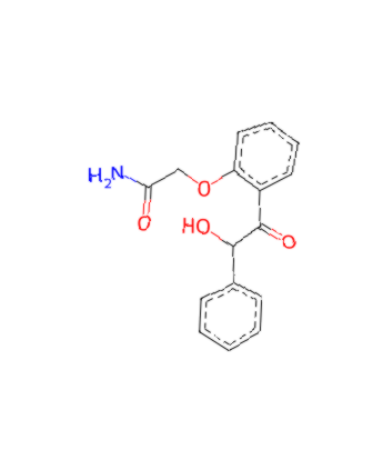 NC(=O)COc1ccccc1C(=O)C(O)c1ccccc1